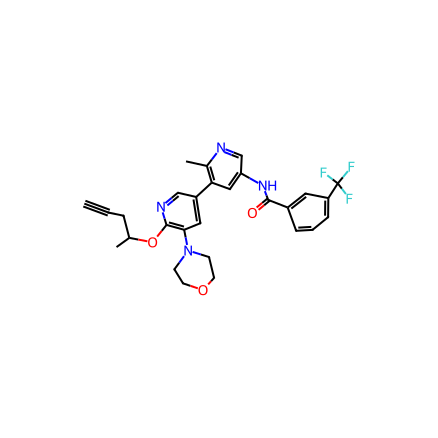 C#CCC(C)Oc1ncc(-c2cc(NC(=O)c3cccc(C(F)(F)F)c3)cnc2C)cc1N1CCOCC1